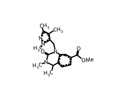 COC(=O)c1ccc2c(c1)N(Cc1c(C)c(C)nn1C)C(=O)N(C)C2C